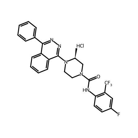 C[C@H]1CN(C(=O)Nc2ccc(F)cc2C(F)(F)F)CCN1c1nnc(-c2ccccc2)c2ccccc12.Cl